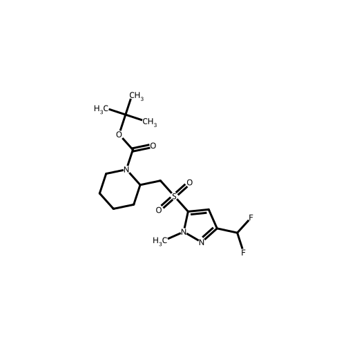 Cn1nc(C(F)F)cc1S(=O)(=O)CC1CCCCN1C(=O)OC(C)(C)C